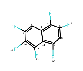 Fc1[c]c2c(F)c(F)[c]c(F)c2c(F)c1F